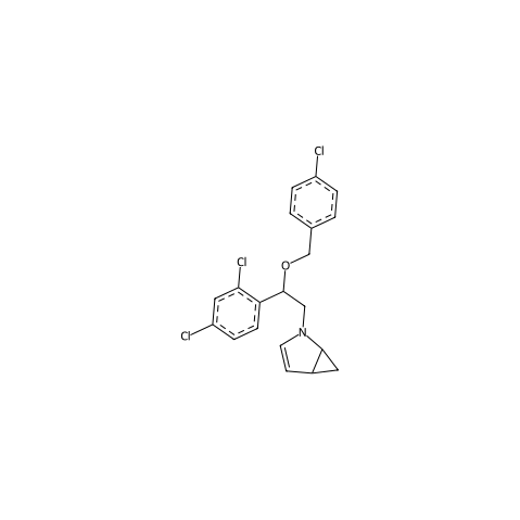 Clc1ccc(COC(CN2C=CC3CC32)c2ccc(Cl)cc2Cl)cc1